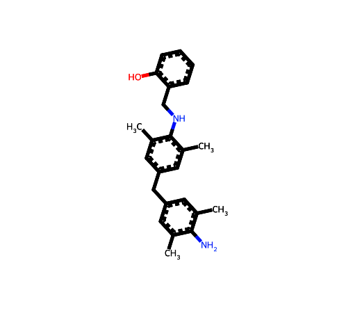 Cc1cc(Cc2cc(C)c(NCc3ccccc3O)c(C)c2)cc(C)c1N